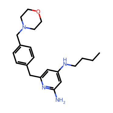 CCCCNc1cc(N)nc(Cc2ccc(CN3CCOCC3)cc2)c1